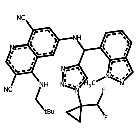 Cn1ncc2cccc(C(Nc3cc(C#N)c4ncc(C#N)c(NCC(C)(C)C)c4c3)c3cn(C4(C(F)F)CC4)nn3)c21